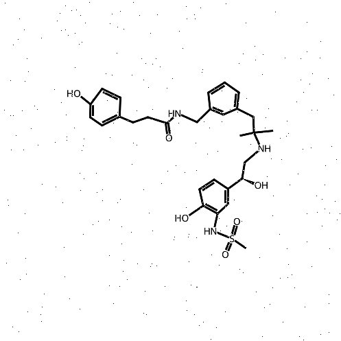 CC(C)(Cc1cccc(CNC(=O)CCc2ccc(O)cc2)c1)NC[C@@H](O)c1ccc(O)c(NS(C)(=O)=O)c1